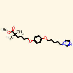 CC(C)(C)OC(=O)C(C)(C)CCCCOc1ccc(OCCCCCn2ccnc2)cc1